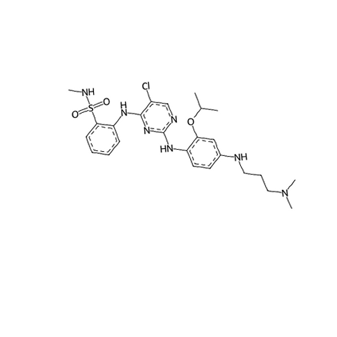 CNS(=O)(=O)c1ccccc1Nc1nc(Nc2ccc(NCCCN(C)C)cc2OC(C)C)ncc1Cl